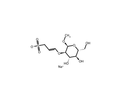 CO[C@H]1O[C@H](CO)[C@@H](O)[C@H](O)[C@H]1OC=CCS(=O)(=O)[O-].[Na+]